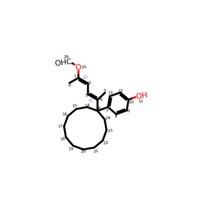 C/C(=C\C=C(/C)C1(c2ccc(O)cc2)CCCCCCCCCCC1)OC=O